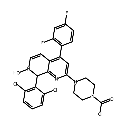 O=C(O)N1CCN(c2cc(-c3ccc(F)cc3F)c3c(n2)C(c2c(Cl)cccc2Cl)N(O)C=C3)CC1